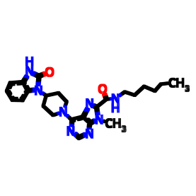 CCCCCCNC(=O)c1nc2c(N3CCC(n4c(=O)[nH]c5ccccc54)CC3)ncnc2n1C